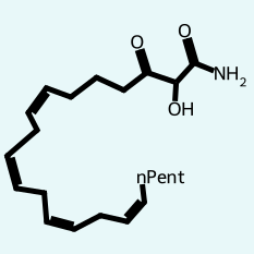 CCCCC/C=C\C/C=C\C/C=C\C/C=C\CCCC(=O)C(O)C(N)=O